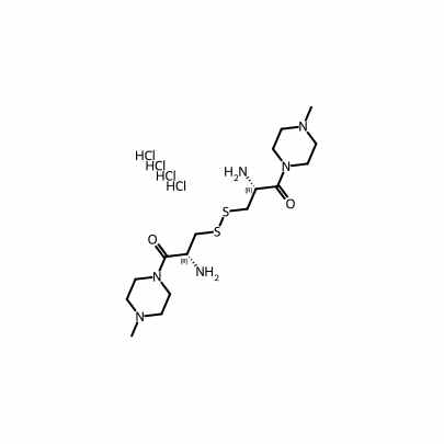 CN1CCN(C(=O)[C@@H](N)CSSC[C@H](N)C(=O)N2CCN(C)CC2)CC1.Cl.Cl.Cl.Cl